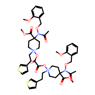 COC(=O)C1(N(OCc2ccccc2OC)C(C)=O)CC[N+](CCc2ccsc2)(OC(=O)C(=O)O[N+]2(CCc3ccsc3)CCC(C(=O)OC)(N(OCc3ccccc3OC)C(C)=O)CC2)CC1